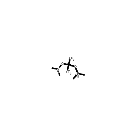 C[SiH](C)OC(O[SiH](C)C)(C(F)(F)F)C(F)(F)F